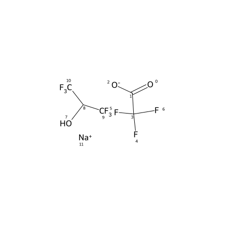 O=C([O-])C(F)(F)F.OC(C(F)(F)F)C(F)(F)F.[Na+]